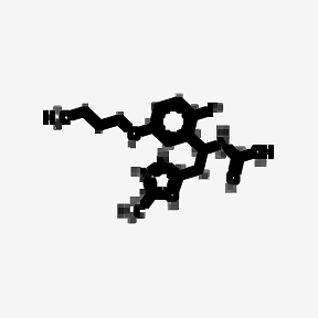 CCCCOc1ccc(F)c(C(Cc2nnc(C)o2)NC(=O)O)c1